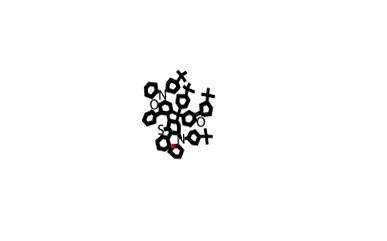 CC(C)(C)c1ccc(N(c2ccccc2)c2cc3c(c4c2oc2ccccc24)-c2c(cc(N(c4ccccc4)c4ccc(C(C)(C)C)cc4)c4c2sc2ccccc24)C3(c2ccc(C(C)(C)C)cc2)c2ccc3oc4ccc(C(C)(C)C)cc4c3c2)cc1